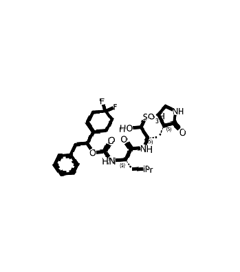 CC(C)C[C@H](NC(=O)OC(Cc1ccccc1)C1CCC(F)(F)CC1)C(=O)N[C@@H](C[C@@H]1CCNC1=O)C(O)S(=O)(=O)O